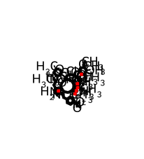 C=C1CC[C@@H]2[C@@H](C)/C(=N/O)[C@H](C)C[C@@](C)(OC1)[C@H](O[C@@H]1O[C@H](C)C[C@H](N(C)CCc3cn(CCc4ccc([N+](=O)[O-])cc4)nn3)[C@H]1O)[C@@H](C)C(O[C@H]1C[C@@](C)(OC)[C@@H](O)[C@H](C)O1)[C@@H](C)C(=O)O[C@H](CC)[C@@]2(C)O